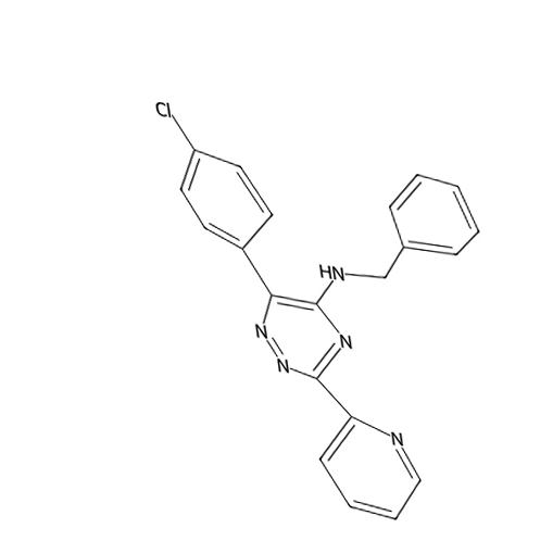 Clc1ccc(-c2nnc(-c3ccccn3)nc2NCc2ccccc2)cc1